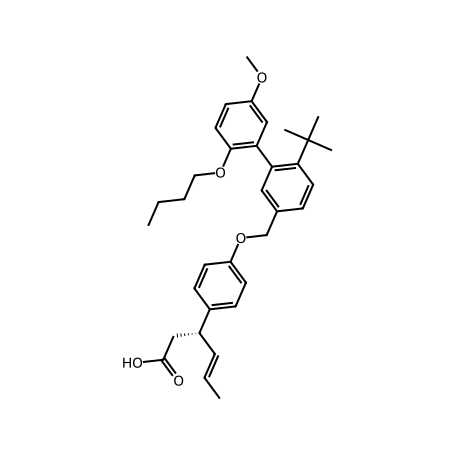 CC=C[C@H](CC(=O)O)c1ccc(OCc2ccc(C(C)(C)C)c(-c3cc(OC)ccc3OCCCC)c2)cc1